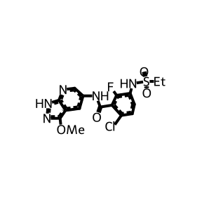 CCS(=O)(=O)Nc1ccc(Cl)c(C(=O)Nc2cnc3[nH]nc(OC)c3c2)c1F